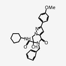 COc1ccc(-c2cc3n(n2)CC(C)(C(=O)NC2CCCCC2)N(Cc2ccccc2)C3=O)cc1